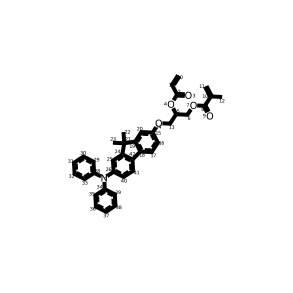 C=CC(=O)OC(COC(=O)C(=C)C)COc1ccc2c(c1)C(C)(C)c1cc(N(c3ccccc3)c3ccccc3)ccc1-2